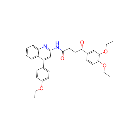 CCOc1ccc(-c2cc(NC(=O)CCC(=O)c3ccc(OCC)c(OCC)c3)nc3ccccc23)cc1